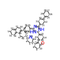 C1=CC(c2ccc(-c3cccc4oc5ccc(C6NC(c7ccc(-c8ccccc8)cc7)=NC(c7ccccc7)N6)cc5c34)cn2)C=Cc2c1ccc1ccccc21